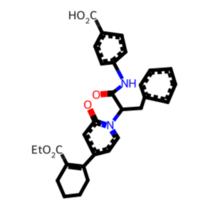 CCOC(=O)C1=C(c2ccn(C(Cc3ccccc3)C(=O)Nc3ccc(C(=O)O)cc3)c(=O)c2)CCCC1